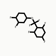 FC1CC(F)C(C(F)(F)OC2CCC(F)C(F)C2)C(F)C1